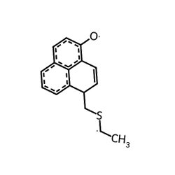 C[CH]SCC1C=Cc2c([O])ccc3cccc1c23